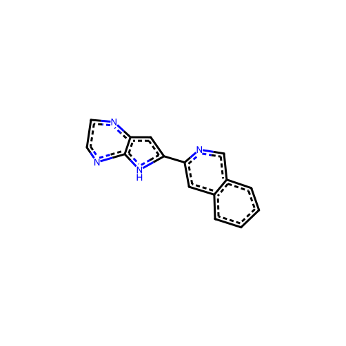 c1ccc2cc(-c3cc4nccnc4[nH]3)ncc2c1